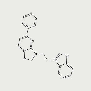 C1=C(c2ccncc2)N=C2N(C1)CCN2CCc1c[nH]c2ccccc12